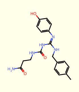 Cc1ccc(CN/C(=N/c2ccc(O)cc2)NC(=O)NCCC(N)=O)cc1